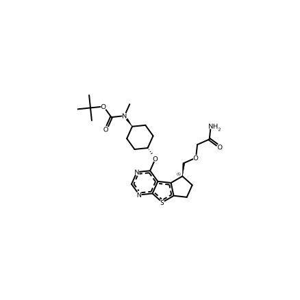 CN(C(=O)OC(C)(C)C)[C@H]1CC[C@H](Oc2ncnc3sc4c(c23)[C@@H](COCC(N)=O)CC4)CC1